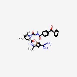 C[C@@H](NC(=O)[C@@H]1C[C@]2(C)C[C@@H]2N1C(=O)CNC(=O)c1ccc(C(=O)c2ccccc2)cc1)c1cc(C(=N)N)cs1